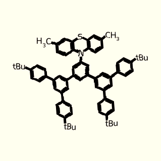 Cc1ccc2c(c1)Sc1cc(C)ccc1N2c1cc(-c2cc(-c3ccc(C(C)(C)C)cc3)cc(-c3ccc(C(C)(C)C)cc3)c2)cc(-c2cc(-c3ccc(C(C)(C)C)cc3)cc(-c3ccc(C(C)(C)C)cc3)c2)c1